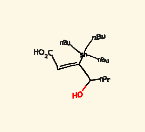 CCC[CH2][Sn]([CH2]CCC)([CH2]CCC)/[C](=C\C(=O)O)C(O)CCC